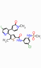 Cc1sc(C(=O)Nc2cc(Cl)cc(NS(C)(=O)=O)c2)cc1-c1ncc(F)cc1-c1ccn(C)c(=O)c1